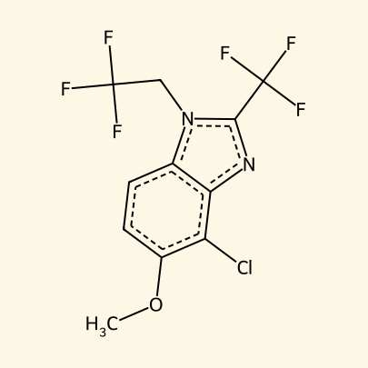 COc1ccc2c(nc(C(F)(F)F)n2CC(F)(F)F)c1Cl